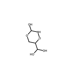 OC1NOC(C(O)O)CO1